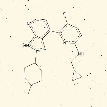 CN1CCC(c2cc3c(-c4nc(NCC5CC5)ccc4Cl)ccnc3[nH]2)CC1